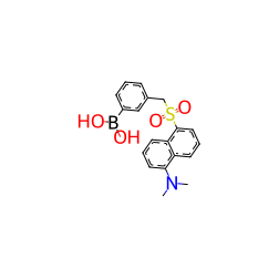 CN(C)c1cccc2c(S(=O)(=O)Cc3cccc(B(O)O)c3)cccc12